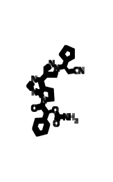 N#CC[C@H](C1CCCC1)n1cc(-c2ncnc3c2ccn3C(=O)[C@@H](OC(N)=O)c2ccccc2)cn1